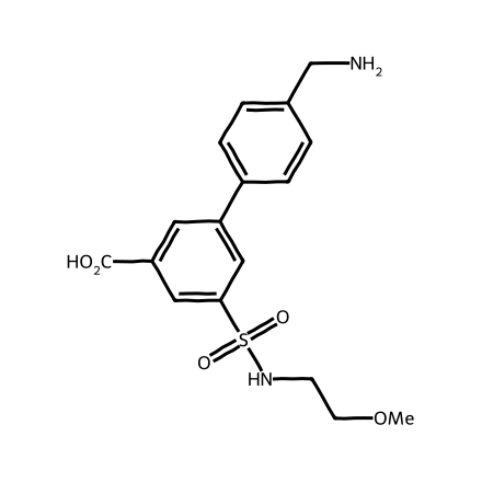 COCCNS(=O)(=O)c1cc(C(=O)O)cc(-c2ccc(CN)cc2)c1